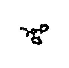 O=C(O)C1CN(c2ncccn2)C1c1ccccn1